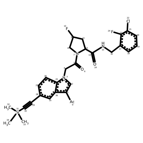 CC(=O)c1cn(CC(=O)N2CC(F)CC2C(=O)NCc2cccc(Cl)c2F)c2ccc(C#C[Si](C)(C)C)cc12